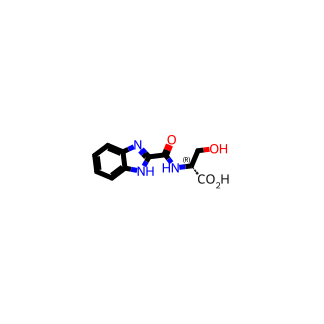 O=C(N[C@H](CO)C(=O)O)c1nc2ccccc2[nH]1